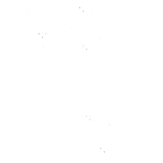 NC(=O)NCCn1ccnc1[N+](=O)[O-]